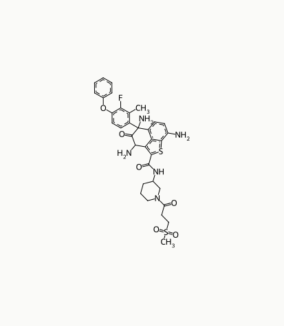 Cc1c(C2(N)C(=O)C(N)c3c(C(=O)NC4CCCN(C(=O)CCS(C)(=O)=O)C4)sc4c(N)ccc2c34)ccc(Oc2ccccc2)c1F